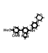 COc1ncc(-c2ccc(Nc3ccc(N4CCOCC4)cc3)c3ncnn23)c(OC)n1